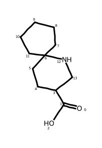 O=C(O)C1CCC2(CCCCC2)NC1